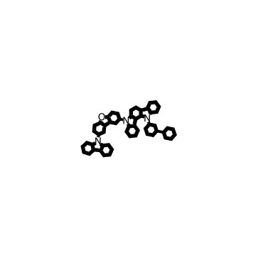 c1ccc(-c2cccc(-n3c4ccccc4c4ccc5c(c6ccccc6n5-c5ccc6oc7ccc(-n8c9ccccc9c9ccccc98)cc7c6c5)c43)c2)cc1